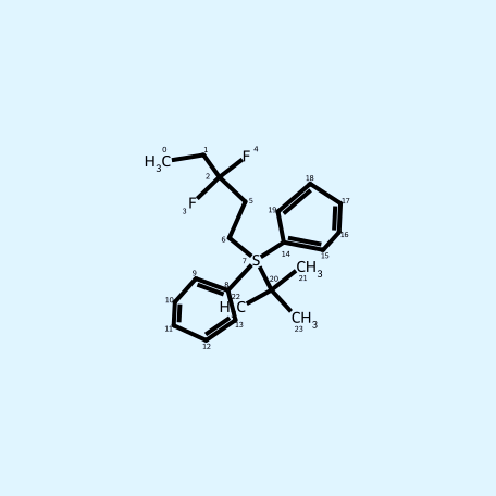 CCC(F)(F)CCS(c1ccccc1)(c1ccccc1)C(C)(C)C